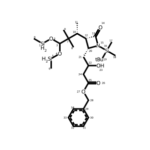 C[SiH2]OC(O[SiH2]C)C(C)(C)[C@H](C)[C@@H]1C(=O)N([Si](C)(C)C(C)(C)C)[C@@H]1CC(O)CC(=O)OCc1ccccc1